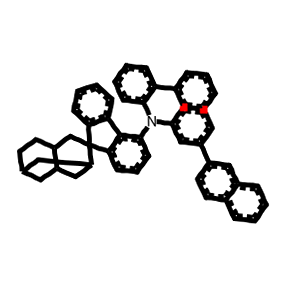 c1ccc(-c2ccccc2N(c2cccc(-c3ccc4ccccc4c3)c2)c2cccc3c2-c2ccccc2C32CC3CCC4CC3CC2C4)cc1